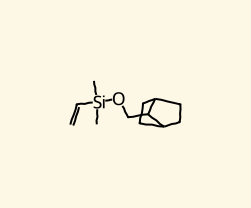 C=C[Si](C)(C)OCC1C2CCC1CC2